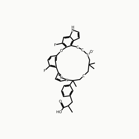 CC(Cc1cccc(C2(C)CCCC(C)(C)C[S+]([O-])CCc3c(c(F)cc4[nH]ccc34)Oc3ccc(F)c(c3)-c3ccn2n3)c1)C(=O)O